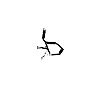 O=CC1=CC=CN[C@@]1(F)Br